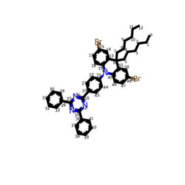 CCCCCCC1(CCCCCC)c2cc(Br)ccc2N(c2ccc(-c3nc(-c4ccccc4)nc(-c4ccccc4)n3)cc2)c2ccc(Br)cc21